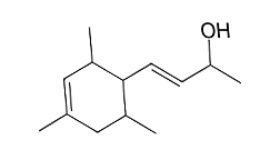 CC1=CC(C)C(C=CC(C)O)C(C)C1